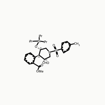 COC(=O)c1ccccc1[C@@H]1[C@@H](C=O)CN(S(=O)(=O)c2ccc(C)cc2)C[C@H]1O[Si](C(C)C)(C(C)C)C(C)C